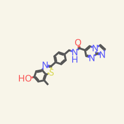 Cc1cc(O)cc2nc(-c3ccc(CNC(=O)c4cnc5nccn5c4)cc3)sc12